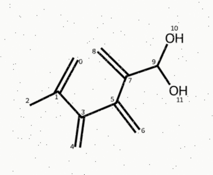 C=C(C)C(=C)C(=C)C(=C)C(O)O